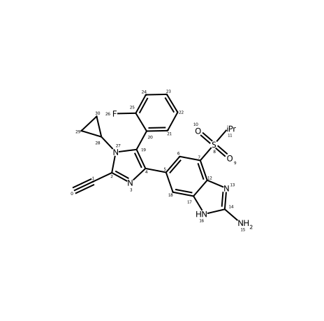 C#Cc1nc(-c2cc(S(=O)(=O)C(C)C)c3nc(N)[nH]c3c2)c(-c2ccccc2F)n1C1CC1